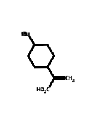 C=C(C(=O)O)C1CCC(C(C)(C)C)CC1